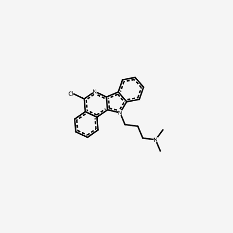 CN(C)CCCn1c2ccccc2c2nc(Cl)c3ccccc3c21